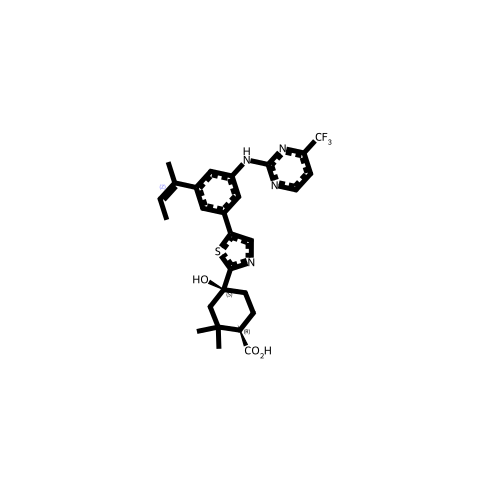 C/C=C(/C)c1cc(Nc2nccc(C(F)(F)F)n2)cc(-c2cnc([C@]3(O)CC[C@@H](C(=O)O)C(C)(C)C3)s2)c1